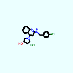 Cl.O[C@H]1CCN(c2cc(NCc3ccc(Cl)cc3)nc3ccccc23)C1